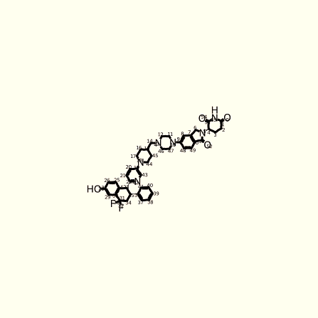 O=C1CC[C@H](N2Cc3cc(N4CCN(CC5CCN(c6ccc([C@H]7c8ccc(O)cc8C(F)(F)C[C@H]7c7ccccc7)nc6)CC5)CC4)ccc3C2=O)C(=O)N1